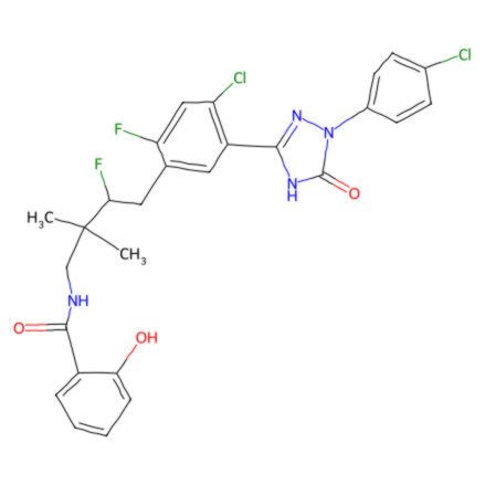 CC(C)(CNC(=O)c1ccccc1O)C(F)Cc1cc(-c2nn(-c3ccc(Cl)cc3)c(=O)[nH]2)c(Cl)cc1F